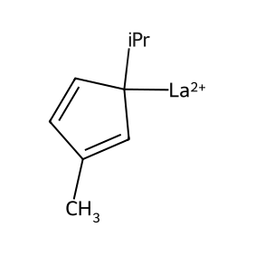 CC1=C[C]([La+2])(C(C)C)C=C1